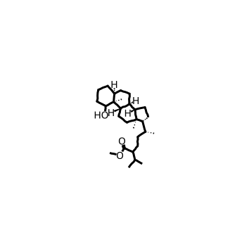 COC(=O)C(CC[C@@H](C)[C@H]1CC[C@H]2[C@@H]3CC[C@@H]4CCCC(O)[C@]4(C)[C@H]3CC[C@]12C)C(C)C